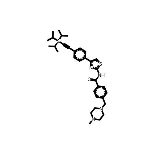 CC(C)S(C#Cc1ccc(-c2csc(NC(=O)c3ccc(CN4CCN(C)CC4)cc3)n2)cc1)(C(C)C)C(C)C